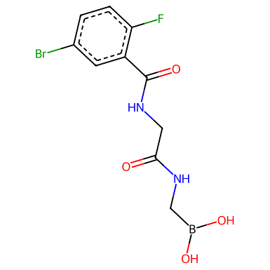 O=C(CNC(=O)c1cc(Br)ccc1F)NCB(O)O